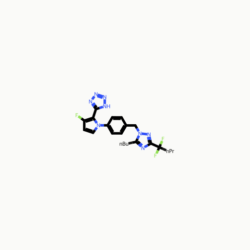 CCCCc1nc(C(F)(F)CCC)nn1Cc1ccc(-n2ccc(F)c2-c2nnn[nH]2)cc1